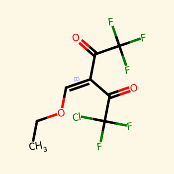 CCO/C=C(/C(=O)C(F)(F)F)C(=O)C(F)(F)Cl